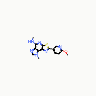 CNc1nc2sc(-c3ccc(OC)nc3)nc2c2c1ncn2C